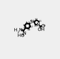 NC(=NO)c1ccc(S[C@@H]2CCN(C(=O)O)C2)cc1